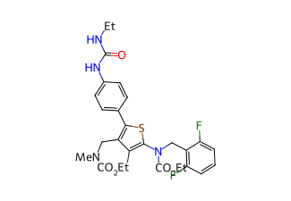 CCNC(=O)Nc1ccc(-c2sc(N(Cc3c(F)cccc3F)C(=O)OCC)c(C(=O)OCC)c2CNC)cc1